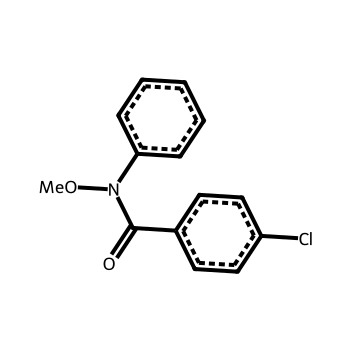 CON(C(=O)c1ccc(Cl)cc1)c1ccccc1